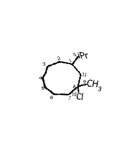 CC(C)C1CCCCCCC(C)(Cl)C1